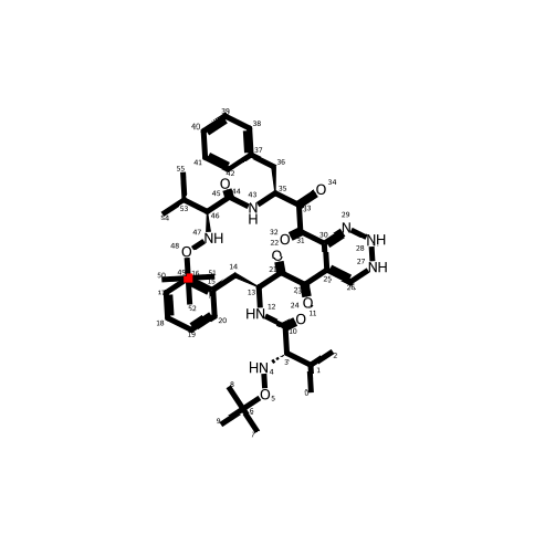 CC(C)[C@H](NOC(C)(C)C)C(=O)N[C@@H](Cc1ccccc1)C(=O)C(=O)C1=CNNN=C1C(=O)C(=O)[C@H](Cc1ccccc1)NC(=O)[C@@H](NOC(C)(C)C)C(C)C